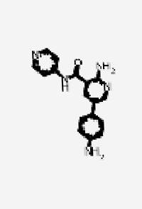 Nc1ccc(-c2cnc(N)c(C(=O)Nc3ccncc3)c2)cc1